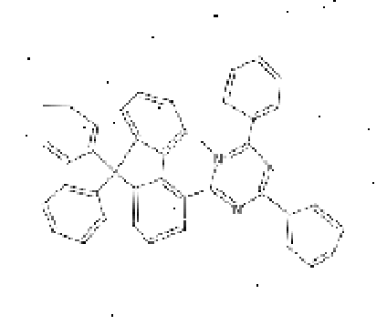 C[n+]1c(-c2ccccc2)nc(-c2ccccc2)nc1-c1cccc2c1-c1ccccc1C2(c1ccccc1)c1ccccc1